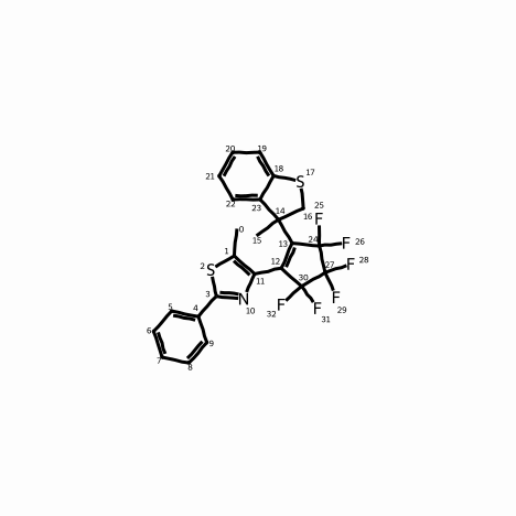 Cc1sc(-c2ccccc2)nc1C1=C(C2(C)CSc3ccccc32)C(F)(F)C(F)(F)C1(F)F